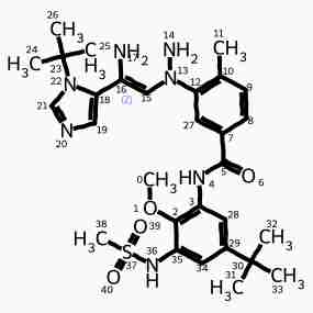 COc1c(NC(=O)c2ccc(C)c(N(N)/C=C(\N)c3cncn3C(C)(C)C)c2)cc(C(C)(C)C)cc1NS(C)(=O)=O